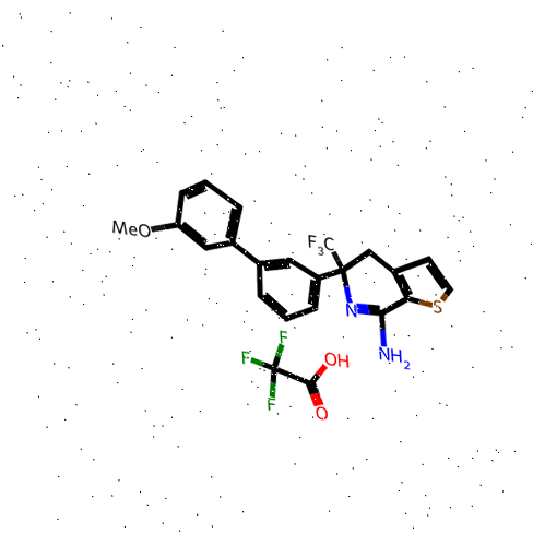 COc1cccc(-c2cccc(C3(C(F)(F)F)Cc4ccsc4C(N)=N3)c2)c1.O=C(O)C(F)(F)F